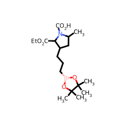 CCOC(=O)C1C(CCCB2OC(C)(C)C(C)(C)O2)CC(C)N1C(=O)O